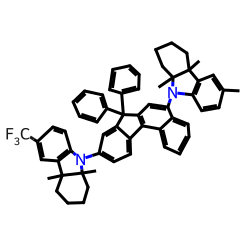 Cc1ccc2c(c1)C1(C)CCCCC1(C)N2c1cc2c(c3ccccc13)-c1ccc(N3c4ccc(C(F)(F)F)cc4C4(C)CCCCC34C)cc1C2(c1ccccc1)c1ccccc1